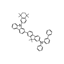 CC1(C)CCC(C)(C)c2cc(-n3c4ccccc4c4ccc(-c5ccc6c(c5)C(C)(C)c5cc(N(c7ccccc7)c7cccc(-c8ccccc8)c7)ccc5-6)cc43)ccc21